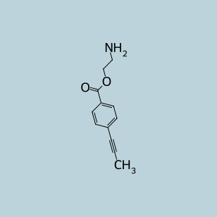 CC#Cc1ccc(C(=O)OCCN)cc1